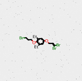 CCc1cc(OCC=C(Br)Br)cc(CC)c1OCCCBr